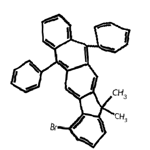 CC1(C)c2cc3c(-c4ccccc4)c4ccccc4c(-c4ccccc4)c3cc2-c2c(Br)cccc21